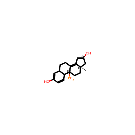 C[C@]12CC[C@@]3(P)C(=C1C[C@@H](O)C2)CCC1C=C(O)C=CC13